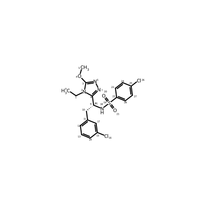 CCn1c(OC)nnc1[C@@H](Cc1cccc(Cl)c1)NS(=O)(=O)c1ccc(Cl)cc1